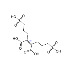 O=C(O)/C(CCCS(=O)(=O)O)=C(/CCCS(=O)(=O)O)C(=O)O